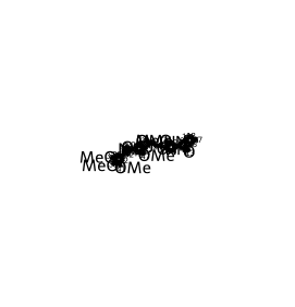 C=C(CCCOc1ccc(C2NC(=O)c3cc(C)ccc3N2)cc1OC)Oc1c(OC)cc(-c2cc(-c3cc(OC)c(OC)c(OC)c3)no2)cc1OC